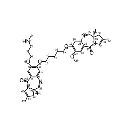 CNCCCOc1cc2c(cc1OCCCCCOc1cc3c(cc1OC)C(=O)N1C=C(C)C[C@H]1C=N3)N=C[C@@H]1CC(C)=CN1C2=O